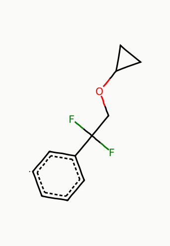 FC(F)(COC1CC1)c1c[c]ccc1